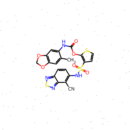 Cc1cc2c(cc1NC(=O)Oc1sccc1S(=O)(=O)Nc1ccc3nsnc3c1C#N)OCO2